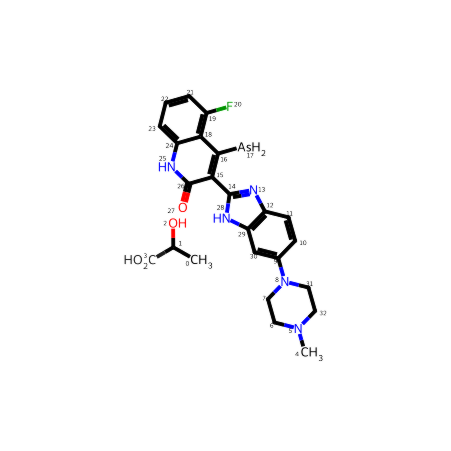 CC(O)C(=O)O.CN1CCN(c2ccc3nc(-c4c([AsH2])c5c(F)cccc5[nH]c4=O)[nH]c3c2)CC1